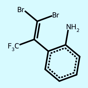 Nc1ccccc1C(=C(Br)Br)C(F)(F)F